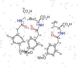 CC[C@H](C)[C@H](NC(=O)Cc1ccc(OC)cc1C)C(=O)O.COc1ccc(CC(=O)N[C@@H](C)C(=O)O)c(C)c1.COc1ccc(CC(=O)N[C@@H](CC(C)C)C(=O)O)c(C)c1